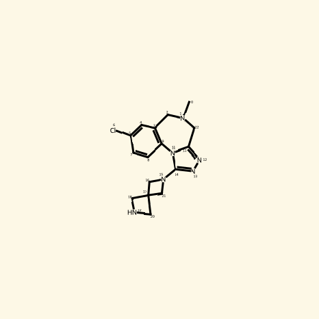 CN1Cc2cc(Cl)ccc2-n2c(nnc2N2CC3(CNC3)C2)C1